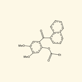 CCC(=O)Oc1cc(OC)c(OC)cc1C(=O)c1cccc2ccccc12